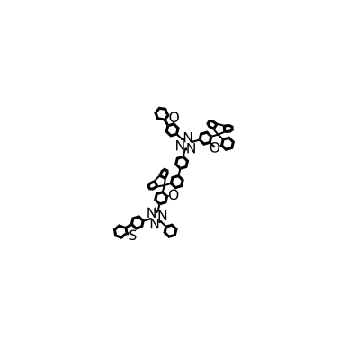 c1ccc(-c2nc(-c3ccc4c(c3)Oc3ccc(-c5ccc(-c6nc(-c7ccc8c(c7)Oc7ccccc7C87c8ccccc8-c8ccccc87)nc(-c7ccc8c(c7)oc7ccccc78)n6)cc5)cc3C43c4ccccc4-c4ccccc43)nc(-c3ccc4c(c3)sc3ccccc34)n2)cc1